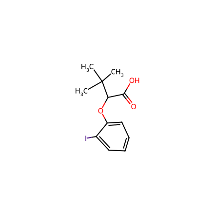 CC(C)(C)C(Oc1ccccc1I)C(=O)O